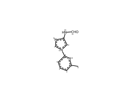 Cc1cccc(-n2cnc(NC=O)c2)n1